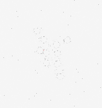 CC1(C)c2ccccc2-c2ccc(N(c3ccc(-c4ccccc4)cc3-c3ccccc3)c3cccc4c3-c3ccccc3C43c4ccccc4-c4c3ccc3c4Sc4ccccc4S3)cc21